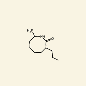 CCCC1CCCCC(P)NC1=O